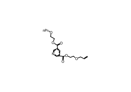 C=CCOCCOC(=O)c1cncc(C(=O)OCCOCCC)c1